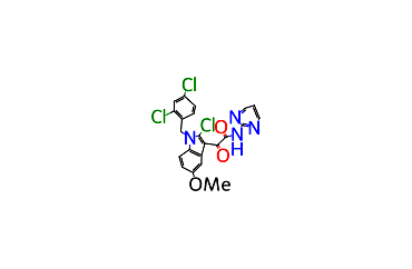 COc1ccc2c(c1)c(C(=O)C(=O)Nc1ncccn1)c(Cl)n2Cc1ccc(Cl)cc1Cl